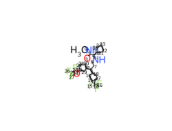 CNC(=O)[C@H](NCC[C@@H](c1ccc(C(F)(F)F)cc1)c1cccc(OC(F)(F)F)c1)c1ccccc1